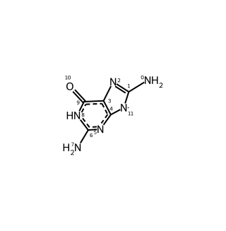 NC1=Nc2c(nc(N)[nH]c2=O)[N]1